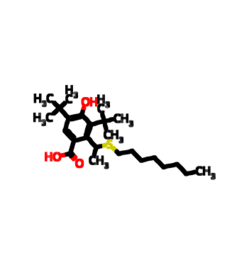 CCCCCCCCSC(C)c1c(C(=O)O)cc(C(C)(C)C)c(O)c1C(C)(C)C